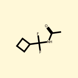 CC(=O)NC(F)(F)C1CCC1